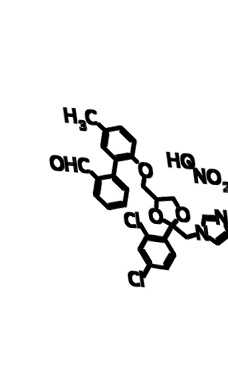 Cc1ccc(OCC2COC(Cn3ccnc3)(c3ccc(Cl)cc3Cl)O2)c(-c2ccccc2C=O)c1.O=[N+]([O-])O